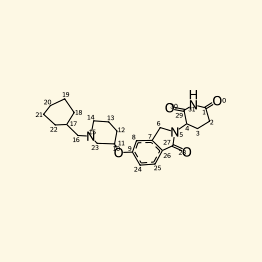 O=C1CCC(N2Cc3cc(O[C@@H]4CCCN(CC5CCCCC5)C4)ccc3C2=O)C(=O)N1